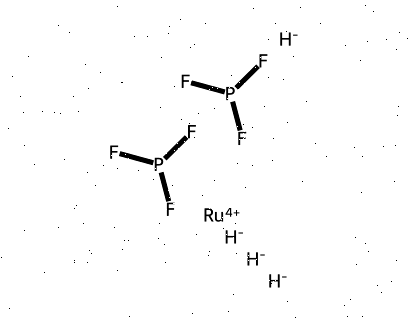 FP(F)F.FP(F)F.[H-].[H-].[H-].[H-].[Ru+4]